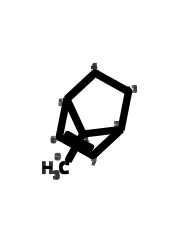 CC1C2[CH]CC1C=C2